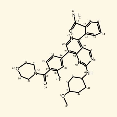 COC1CCC(Nc2ncc3c(-c4ccccc4C(N)=O)ncc(-c4ccc(C(=O)N5CCOCC5)c(F)c4)c3n2)CC1